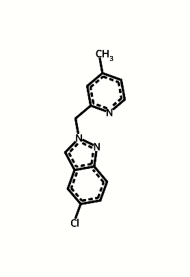 Cc1ccnc(Cn2cc3cc(Cl)ccc3n2)c1